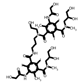 Cc1c(NC(=O)CO)c(I)c(C(=O)NCCCN(CCO)C(=O)c2c(C)c(NC(=O)CO)c(I)c(C(=O)N(C)CC(O)CO)c2I)c(I)c1C(=O)N(C)CC(O)CO